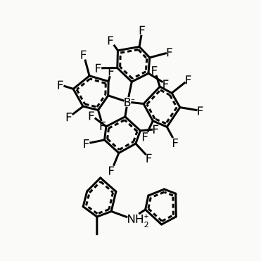 Cc1ccccc1[NH2+]c1ccccc1.Fc1c(F)c(F)c([B-](c2c(F)c(F)c(F)c(F)c2F)(c2c(F)c(F)c(F)c(F)c2F)c2c(F)c(F)c(F)c(F)c2F)c(F)c1F